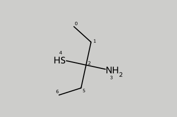 CCC(N)(S)CC